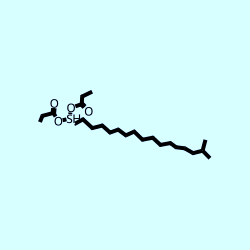 CCC(=O)O[SH](CCCCCCCCCCCCCCCC(C)C)OC(=O)CC